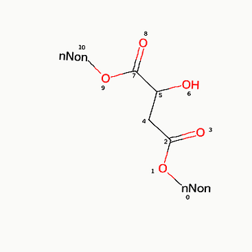 CCCCCCCCCOC(=O)CC(O)C(=O)OCCCCCCCCC